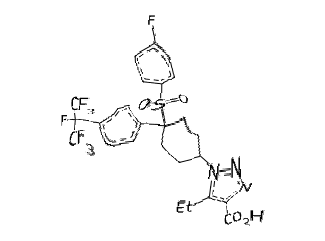 CCc1c(C(=O)O)nnn1C1CCC(c2ccc(C(F)(C(F)(F)F)C(F)(F)F)cc2)(S(=O)(=O)c2ccc(F)cc2)CC1